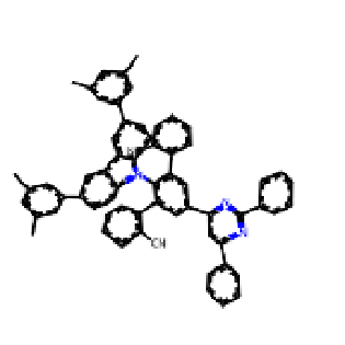 Cc1cc(C)cc(-c2ccc3c(c2)c2cc(-c4cc(C)cc(C)c4)ccc2n3-c2c(-c3ccccc3C#N)cc(-c3cc(-c4ccccc4)nc(-c4ccccc4)n3)cc2-c2ccccc2C#N)c1